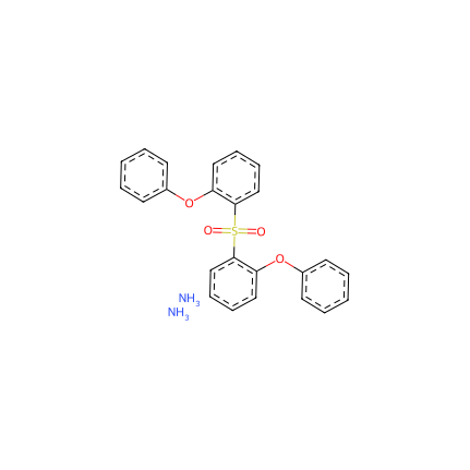 N.N.O=S(=O)(c1ccccc1Oc1ccccc1)c1ccccc1Oc1ccccc1